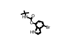 CC(C)(C)NC(=O)Oc1ccc(Br)c2cc[nH]c12